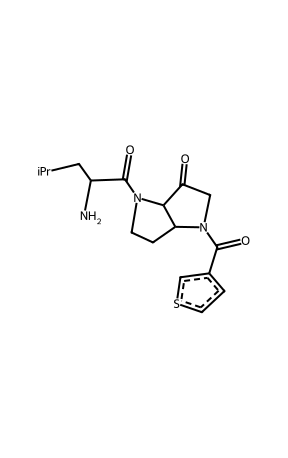 CC(C)CC(N)C(=O)N1CCC2C1C(=O)CN2C(=O)c1ccsc1